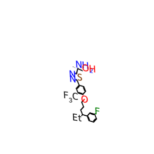 CCC(CCCOc1ccc(-c2nnc([C@@](C)(N)CO)s2)cc1C(F)(F)F)c1cccc(F)c1